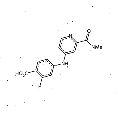 CNC(=O)c1cc(Nc2ccc(C(=O)O)c(F)c2)ccn1